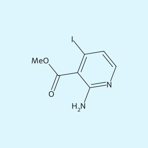 COC(=O)c1c(I)ccnc1N